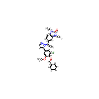 COc1cc(-c2ccnn2C(C)c2ccc3c(c2)n(C)c(=O)n3C)cc(F)c1OCc1ccccc1